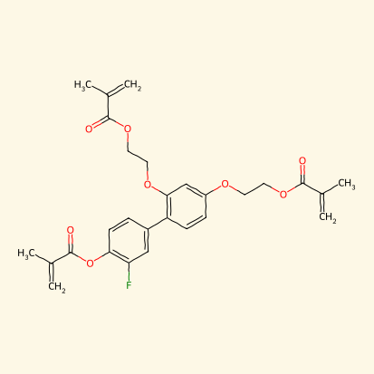 C=C(C)C(=O)OCCOc1ccc(-c2ccc(OC(=O)C(=C)C)c(F)c2)c(OCCOC(=O)C(=C)C)c1